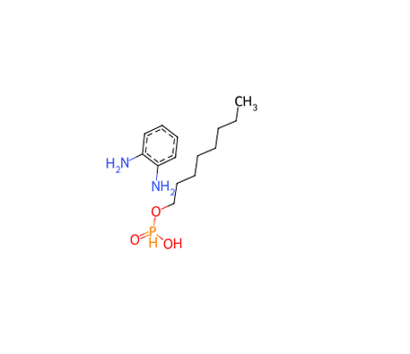 CCCCCCCCO[PH](=O)O.Nc1ccccc1N